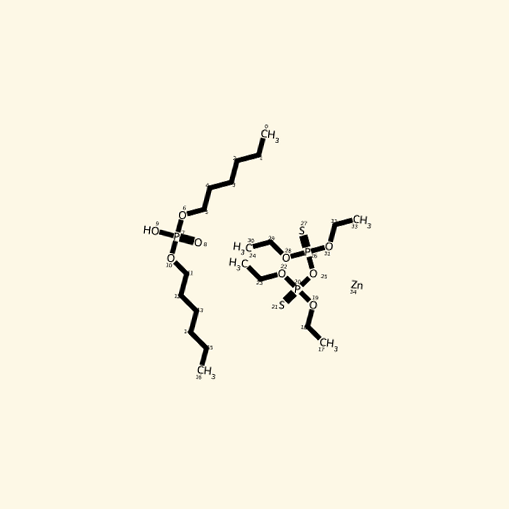 CCCCCCOP(=O)(O)OCCCCCC.CCOP(=S)(OCC)OP(=S)(OCC)OCC.[Zn]